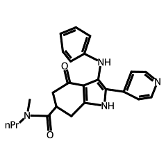 CCCN(C)C(=O)C1CC(=O)c2c([nH]c(-c3ccncc3)c2Nc2ccccc2)C1